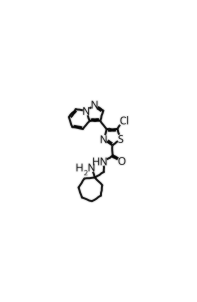 NC1(CNC(=O)c2nc(-c3cnn4ccccc34)c(Cl)s2)CCCCCC1